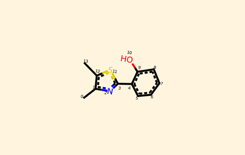 Cc1nc(-c2ccccc2O)sc1C